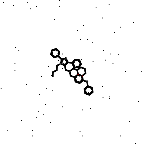 CCCCn1c(-c2ccccc2)nc(-c2ccccc2)c1CN(Cc1ccc(Oc2ccccc2)cc1)CC1CCCCC1